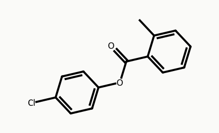 Cc1ccccc1C(=O)Oc1ccc(Cl)cc1